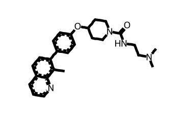 Cc1c(-c2ccc(OC3CCN(C(=O)NCCN(C)C)CC3)cc2)ccc2cccnc12